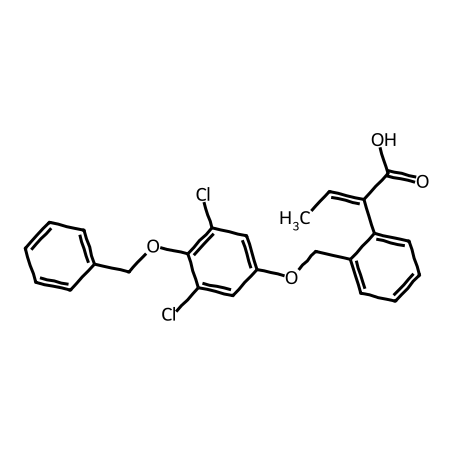 C/C=C(/C(=O)O)c1ccccc1COc1cc(Cl)c(OCc2ccccc2)c(Cl)c1